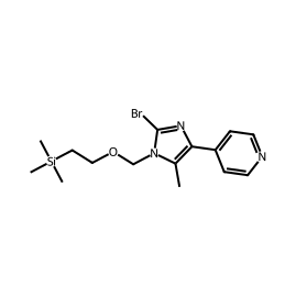 Cc1c(-c2ccncc2)nc(Br)n1COCC[Si](C)(C)C